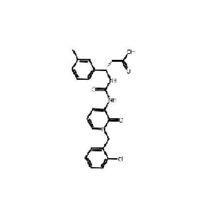 Cc1cccc([C@H](CC(=O)O)NC(=O)Nc2cccn(Cc3ccccc3Cl)c2=O)c1